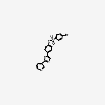 O=S(=O)(Oc1ccc(-c2cnc(-c3cccnc3)s2)cc1)c1ccc(Br)cc1